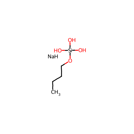 CCCCO[Si](O)(O)O.[NaH]